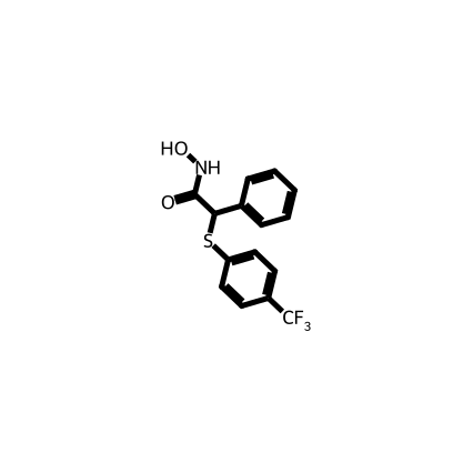 O=C(NO)C(Sc1ccc(C(F)(F)F)cc1)c1ccccc1